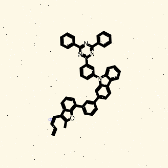 C=C/C=C\c1c(C)oc2c(-c3cccc(-c4ccc5c6ccccc6n(-c6cccc(-c7nc(-c8ccccc8)nc(-c8ccccc8)n7)c6)c5c4)c3)cccc12